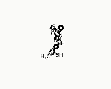 CN1CCN(c2ccc(Nc3ncc4c(=O)n5c(nc4n3)c3ccccc3n5-c3nccs3)cc2)[C@H](CO)C1